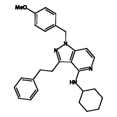 COc1ccc(Cn2nc(CCc3ccccc3)c3c(NC4CCCCC4)nccc32)cc1